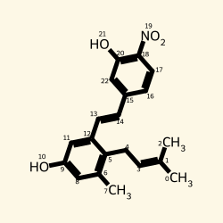 CC(C)=CCc1c(C)cc(O)cc1/C=C/c1ccc([N+](=O)[O-])c(O)c1